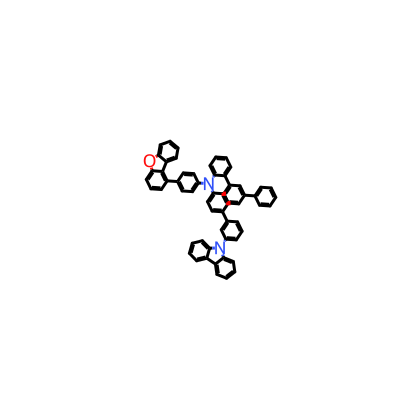 c1ccc(-c2cccc(-c3ccccc3N(c3ccc(-c4cccc(-n5c6ccccc6c6ccccc65)c4)cc3)c3ccc(-c4cccc5oc6ccccc6c45)cc3)c2)cc1